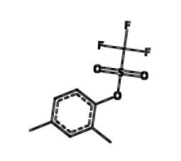 Cc1ccc(OS(=O)(=O)C(F)(F)F)c(C)c1